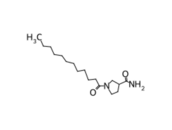 CCCCCCCCCCCC(=O)N1CCC(C(N)=O)C1